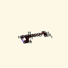 CO[C@H]1C[C@@H]2CC[C@@H](C)[C@@](O)(O2)C(=O)C(=O)N2CCCC[C@H]2C(=O)O[C@H]([C@H](N)CC2CC[C@@H](OC(=O)NCCOCCOCCOCCOCCOCCOCCC(=O)N3CCc4cc(Cn5nc(-c6ccc7oc(N)nc7c6)c6c(N)ncnc65)ccc4C3)[C@H](OC)C2)CC(=O)[C@H](C)/C=C(\C)[C@@H](O)[C@@H](O)C(=O)[C@H](C)CC/C=C/C=C/C=C/1C